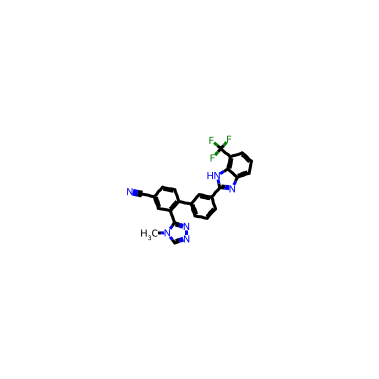 Cn1cnnc1-c1cc(C#N)ccc1-c1cccc(-c2nc3cccc(C(F)(F)F)c3[nH]2)c1